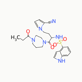 CCC(=O)N1CCCN(C(=O)C(CCn2cccc2C#N)NS(=O)(=O)c2cccc3[nH]ccc23)CC1